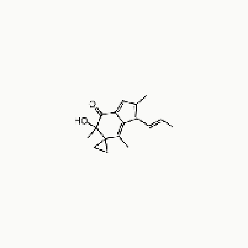 CC=CC1=C(C)C=C2C(=O)C(C)(O)C3(CC3)C(C)=C21